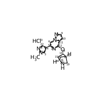 Cl.Cn1cc(-c2cn3nccc3c(O[C@H]3C[C@H]4C[C@@H]3CN4)n2)cn1